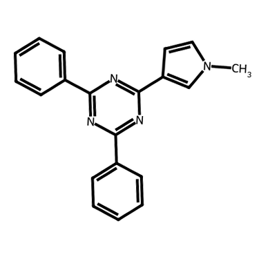 Cn1ccc(-c2nc(-c3ccccc3)nc(-c3ccccc3)n2)c1